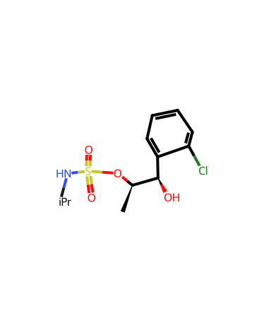 CC(C)NS(=O)(=O)O[C@H](C)[C@H](O)c1ccccc1Cl